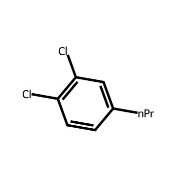 C[CH]Cc1ccc(Cl)c(Cl)c1